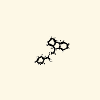 O=C(OCC1c2ccccc2-c2ccccc21)c1cccnc1